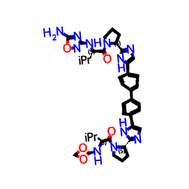 CC(C)[C@H](Nc1noc(N)n1)C(=O)N1CCC[C@H]1c1ncc(-c2ccc(-c3ccc(-c4cnc([C@@H]5CCCN5C(=O)[C@@H](NC5OCO5)C(C)C)[nH]4)cc3)cc2)[nH]1